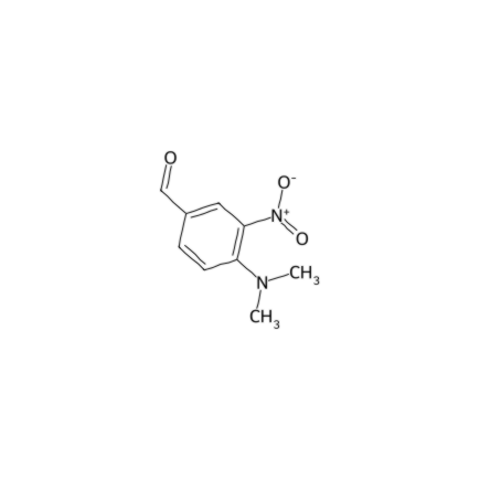 CN(C)c1ccc(C=O)cc1[N+](=O)[O-]